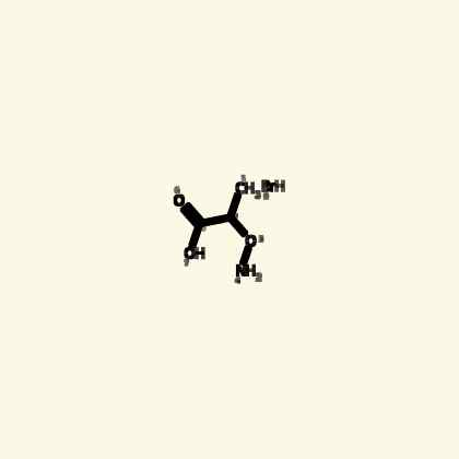 Br.CC(ON)C(=O)O